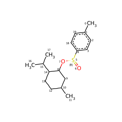 Cc1ccc([S@](=O)OC2CC(C)CCC2C(C)C)cc1